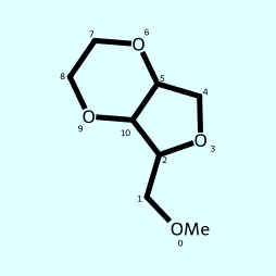 COCC1OCC2OCCOC12